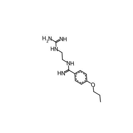 CCCOc1ccc(C(=N)NCCNC(=N)N)cc1